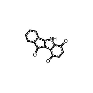 O=c1ccc(=O)c2c1[nH]c1c3ccccc3c(=O)c12